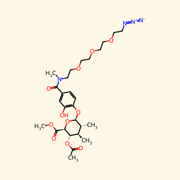 COC(=O)[C@H]1O[C@@H](Oc2ccc(C(=O)N(C)CCOCCOCCOCCN=[N+]=[N-])cc2O)[C@H](C)[C@@H](C)[C@@H]1OC(C)=O